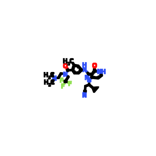 Cc1cc(Nc2nn(C(CC#N)C3CC3)c3cc[nH]c(=O)c23)ccc1C(=O)N(CCN(C)C)CC(F)(F)F